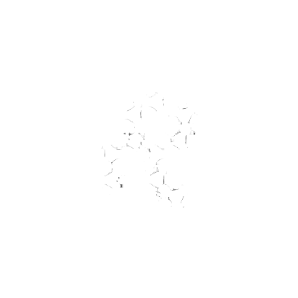 c1ccc(-c2cccc(-c3nc(-c4cccc(-c5cccnc5)c4)cc(-c4cc(-c5ccc6sc7ccccc7c6c5)cc(-c5ccc6sc7ccccc7c6c5)c4)n3)c2)cc1